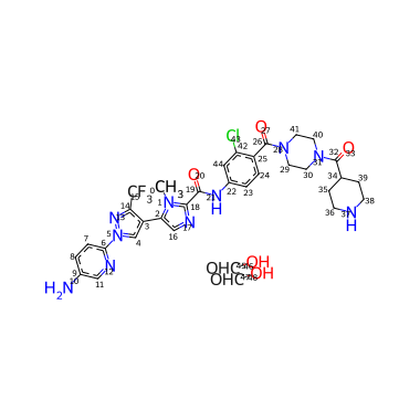 Cn1c(-c2cn(-c3ccc(N)cn3)nc2C(F)(F)F)cnc1C(=O)Nc1ccc(C(=O)N2CCN(C(=O)C3CCNCC3)CC2)c(Cl)c1.O=CO.O=CO